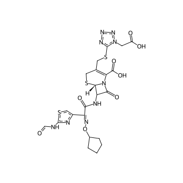 O=CNc1nc(C(=NOC2CCCC2)C(=O)NC2C(=O)N3C(C(=O)O)=C(CSc4nnnn4CC(=O)O)CS[C@@H]23)cs1